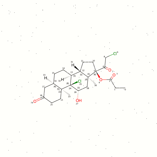 CCC(=O)O[C@]1(C(=O)CCl)CC[C@H]2[C@@H]3CC[C@@H]4CC(=O)CC[C@]4(C)[C@@]3(Cl)[C@@H](O)C[C@@]21C